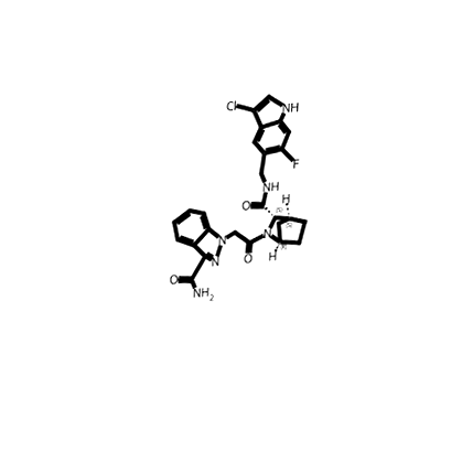 NC(=O)c1nn(CC(=O)N2[C@@H]3CC[C@@H](C3)[C@H]2C(=O)NCc2cc3c(Cl)c[nH]c3cc2F)c2ccccc12